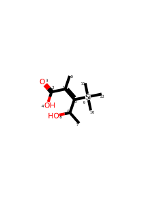 CC(C(=O)O)=C(C(C)O)[Si](C)(C)C